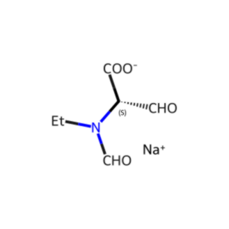 CCN(C=O)[C@@H](C=O)C(=O)[O-].[Na+]